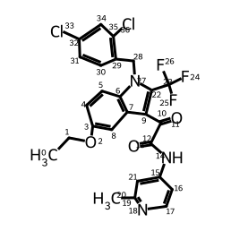 CCOc1ccc2c(c1)c(C(=O)C(=O)Nc1ccnc(C)c1)c(C(F)(F)F)n2Cc1ccc(Cl)cc1Cl